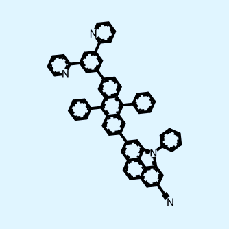 N#Cc1cc2ccc3cc(-c4ccc5c(-c6ccccc6)c6cc(-c7cc(-c8ccccn8)cc(-c8ccccn8)c7)ccc6c(-c6ccccc6)c5c4)cc4c3c2c(c1)n4-c1ccccc1